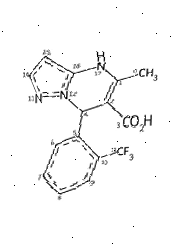 CC1=C(C(=O)O)C(c2ccccc2C(F)(F)F)n2nccc2N1